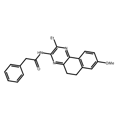 CCc1nc2c(nc1NC(=O)Cc1ccccc1)CCc1cc(OC)ccc1-2